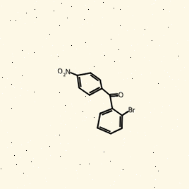 O=C(c1ccc([N+](=O)[O-])cc1)c1ccccc1Br